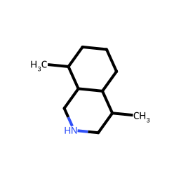 CC1CNCC2C(C)CCCC12